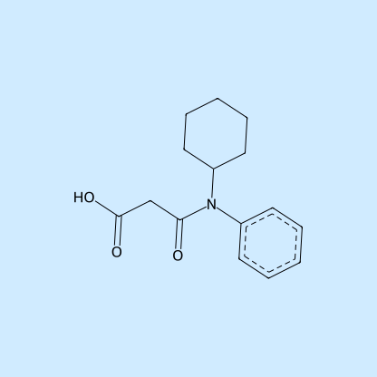 O=C(O)CC(=O)N(c1ccccc1)C1CCCCC1